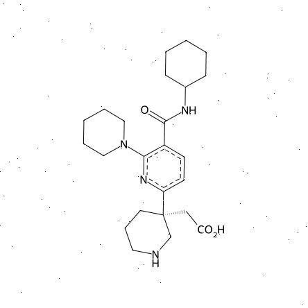 O=C(O)C[C@@]1(c2ccc(C(=O)NC3CCCCC3)c(N3CCCCC3)n2)CCCNC1